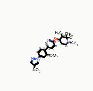 COc1cc(-n2cc([N+](=O)[O-])cn2)ccc1-c1ccc(OC2CCN(C)C(C)(C)C2C)nn1